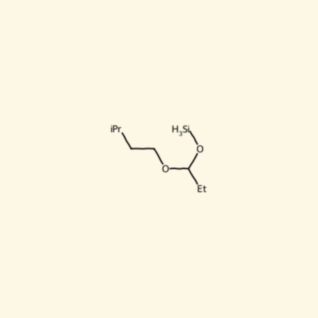 CCC(O[SiH3])OCCC(C)C